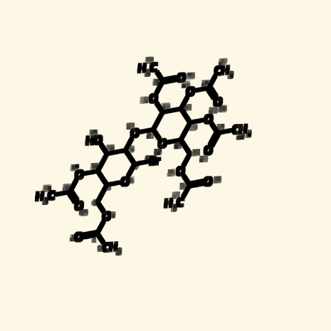 CC(=O)OCC1OC(Br)C(OC2OC(COC(C)=O)C(OC(C)=O)C(OC(C)=O)C2OC(C)=O)C(O)C1OC(C)=O